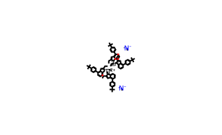 C[CH]=[Ti+2]([CH]1C(CC)=Cc2c(-c3ccc(C(C)(C)C)cc3)cccc21)[CH]1C(CC)=Cc2c(-c3ccc(C(C)(C)C)cc3)cccc21.C[CH]=[Zr-]([CH3])([CH]1C(CC)=Cc2c(-c3ccc(C(C)(C)C)cc3)cccc21)[CH]1C(CC)=Cc2c(-c3ccc(C(C)(C)C)cc3)cccc21.C[N-]C.C[N-]C